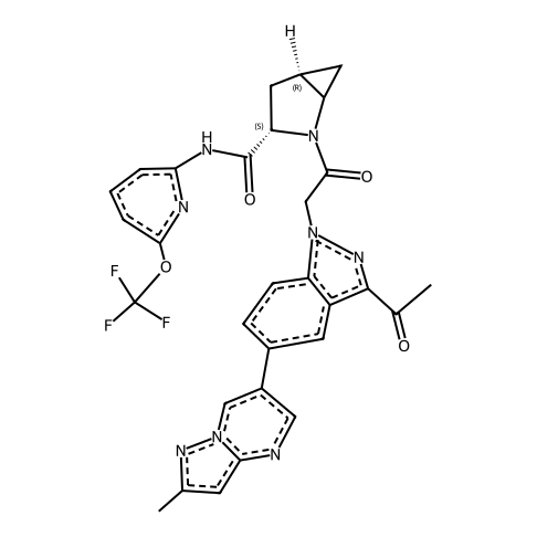 CC(=O)c1nn(CC(=O)N2C3C[C@@H]3C[C@H]2C(=O)Nc2cccc(OC(F)(F)F)n2)c2ccc(-c3cnc4cc(C)nn4c3)cc12